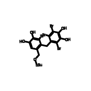 CCCCOCc1cc(O)c(O)c(Br)c1Cc1c(Br)c(O)c(O)c(Br)c1Br